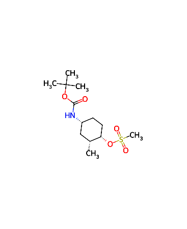 C[C@@H]1C[C@H](NC(=O)OC(C)(C)C)CC[C@@H]1OS(C)(=O)=O